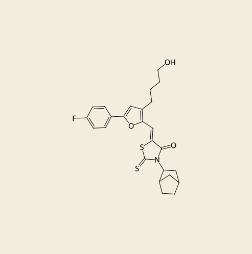 O=C1C(=Cc2oc(-c3ccc(F)cc3)cc2CCCCO)SC(=S)N1C1CC2CCC1C2